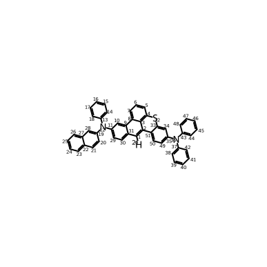 [2H]c1c2c3c(cccc3c3cc(N(c4ccccc4)c4ccc5ccccc5c4)ccc13)Sc1cc(N(c3ccccc3)c3ccccc3)ccc1-2